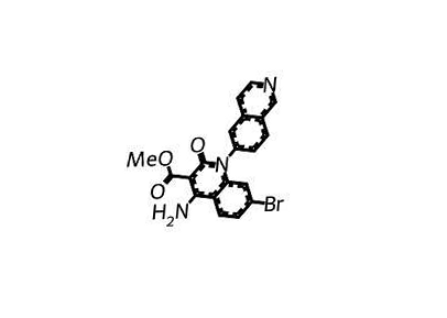 COC(=O)c1c(N)c2ccc(Br)cc2n(-c2ccc3cnccc3c2)c1=O